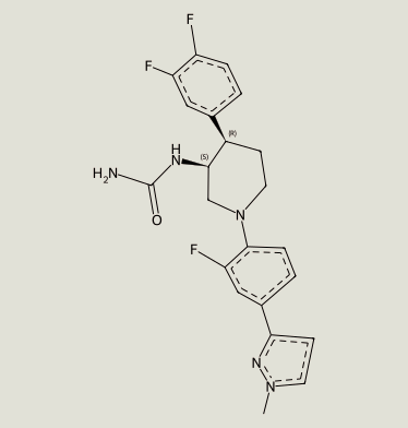 Cn1ccc(-c2ccc(N3CC[C@H](c4ccc(F)c(F)c4)[C@H](NC(N)=O)C3)c(F)c2)n1